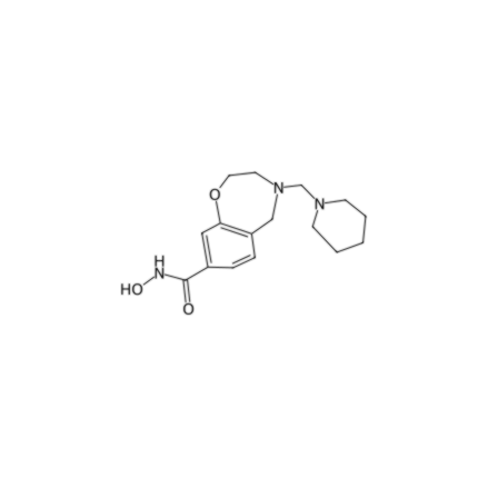 O=C(NO)c1ccc2c(c1)OCCN(CN1CCCCC1)C2